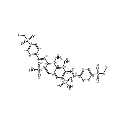 CCS(=O)(=O)c1ccc(N=Nc2c(S(=O)(=O)O)cc3cc(S(=O)(=O)O)c(N=Nc4ccc(S(=O)(=O)CC)cc4)c(O)c3c2N)cc1